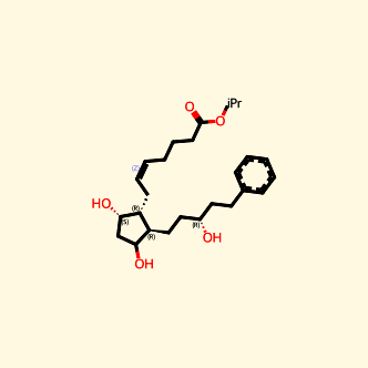 CC(C)OC(=O)CCC/C=C\C[C@H]1[C@@H](O)CC(O)[C@@H]1CC[C@@H](O)CCc1ccccc1